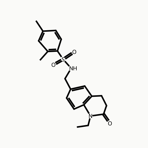 CCN1C(=O)CCc2cc(CNS(=O)(=O)c3ccc(C)cc3C)ccc21